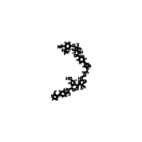 Cc1ncsc1-c1ccc([C@H](C)NC(=O)[C@@H]2C[C@@H](O)CN2C(=O)[C@@H](NC(=O)COCCc2cn(-c3ccc(C(=O)N[C@H]4C(C)(C)[C@H](Oc5ccc(C#N)c(C(F)(F)F)c5)C4(C)C)cc3)nn2)C(C)(C)C)cc1